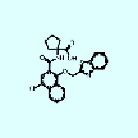 O=C(NC1(C(=O)O)CCCC1)c1cc(Cl)c2ccccc2c1OCc1nc2ccccc2s1